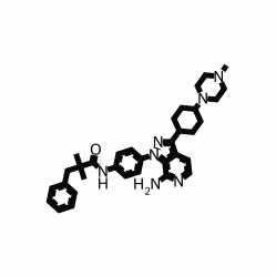 CN1CCN(C2CCC(c3nn(-c4ccc(NC(=O)C(C)(C)Cc5ccccc5)cc4)c4c(N)nccc34)CC2)CC1